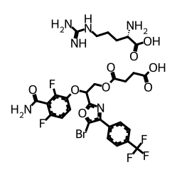 N=C(N)NCCC[C@H](N)C(=O)O.NC(=O)c1c(F)ccc(OC(COC(=O)CCC(=O)O)c2nc(-c3ccc(C(F)(F)F)cc3)c(Br)o2)c1F